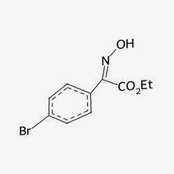 CCOC(=O)C(=NO)c1ccc(Br)cc1